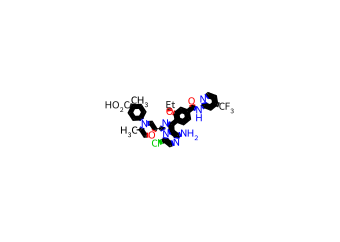 CCOc1cc(C(=O)Nc2cc(C(F)(F)F)ccn2)ccc1-c1nc([C@H]2CN(C3CCC(C)(C(=O)O)CC3)[C@@H](C)CO2)n2c(Cl)cnc(N)c12